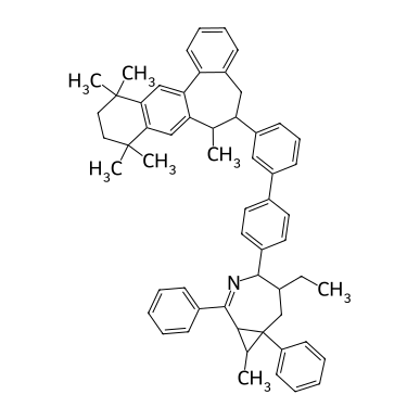 CCC1CC2(c3ccccc3)C(C)C2C(c2ccccc2)=NC1c1ccc(-c2cccc(C3Cc4ccccc4-c4cc5c(cc4C3C)C(C)(C)CCC5(C)C)c2)cc1